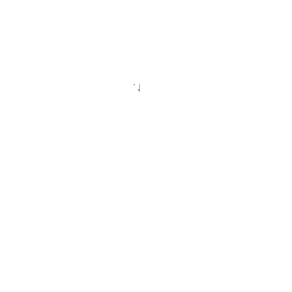 c1ccc(N(c2ccc(-c3ccc(CCC4Cc5ccccc5-c5ccccc54)cc3)cc2)c2ccc(-c3cccc4ccccc34)cc2)cc1